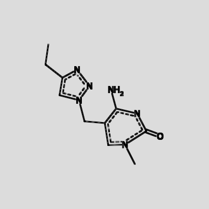 CCc1cn(Cc2cn(C)c(=O)nc2N)nn1